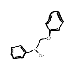 [O-][S+](COc1ccccc1)c1ccccc1